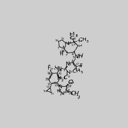 C=N/C(=N\C(NC1C[C@H]2CCCN2C(C)(C)C1)=C(/C)F)Nc1cc(-n2nnn(C)c2=O)c(C2CC2)cc1F